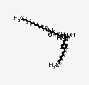 CCCCCCCCCCCCCCNC(=O)CCCCCNC(CO)(CO)CCc1ccc(CCCCCCCC)cc1